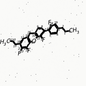 CCCc1ccc(-c2ccc3c(c2F)Oc2c(cc(CCC)c(F)c2F)C3)c(F)c1